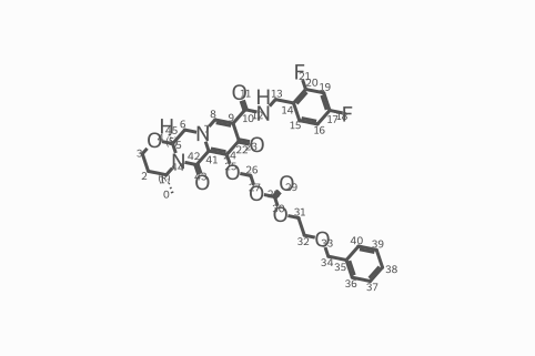 C[C@@H]1CCO[C@H]2Cn3cc(C(=O)NCc4ccc(F)cc4F)c(=O)c(OCOC(=O)OCCOCc4ccccc4)c3C(=O)N12